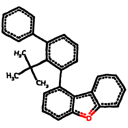 CC(C)(C)c1c(-c2ccccc2)cccc1-c1cccc2oc3ccccc3c12